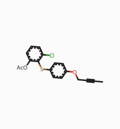 CC#CCOc1ccc(Sc2c(Cl)cccc2OC(C)=O)cc1